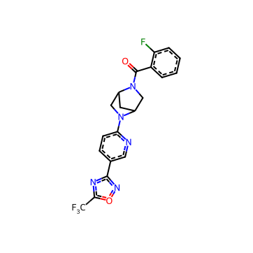 O=C(c1ccccc1F)N1CC2CC1CN2c1ccc(-c2noc(C(F)(F)F)n2)cn1